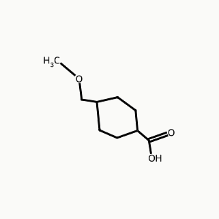 COCC1CCC(C(=O)O)CC1